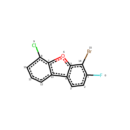 Fc1ccc2c(oc3c(Cl)cccc32)c1Br